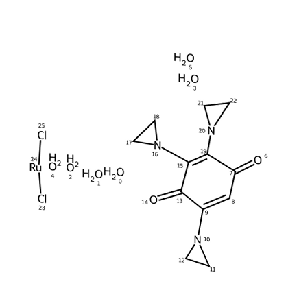 O.O.O.O.O.O.O=C1C=C(N2CC2)C(=O)C(N2CC2)=C1N1CC1.[Cl][Ru][Cl]